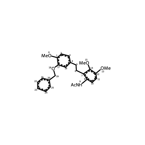 COc1ccc(CCc2c(NC(C)=O)ccc(OC)c2OC)cc1OCc1ccccc1